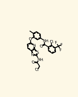 Cc1ccc(NC(=O)c2cccc(C(F)(F)F)c2Cl)cc1Oc1ccc2nc(NC(=O)CCl)sc2n1